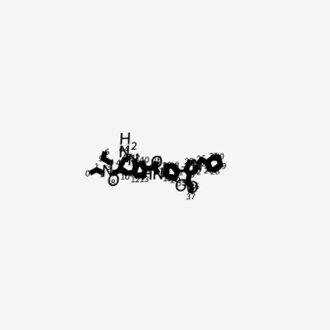 CCCN(CCC)C(=O)C1=Cc2ccc(C(=O)Nc3ccc([C@H]4CN(Cc5ccccc5)CC4C(=O)OC)cc3)cc2N=C(N)C1